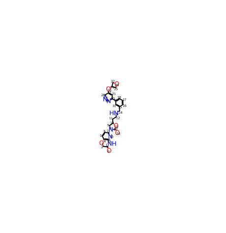 O=C1COc2ccc(N3CC(CCNCc4cccc(-c5cc(OC6COC6)cnn5)c4)OC3=O)nc2N1